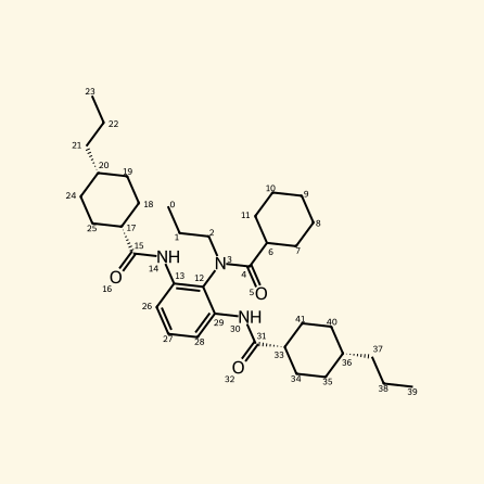 CCCN(C(=O)C1CCCCC1)c1c(NC(=O)[C@H]2CC[C@@H](CCC)CC2)cccc1NC(=O)[C@H]1CC[C@@H](CCC)CC1